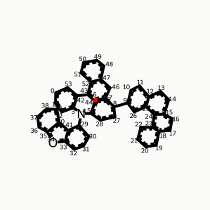 c1ccc(N(c2ccc(-c3ccc4ccc5ccc6ccccc6c5c4c3)cc2)c2cccc3oc4ccccc4c23)c(-c2cccc3ccccc23)c1